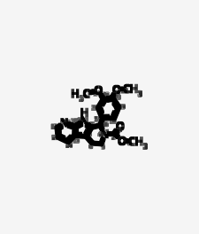 COC(=O)N1CCc2c([nH]c3ncccc23)C1c1ccc(OC)c(OC)c1